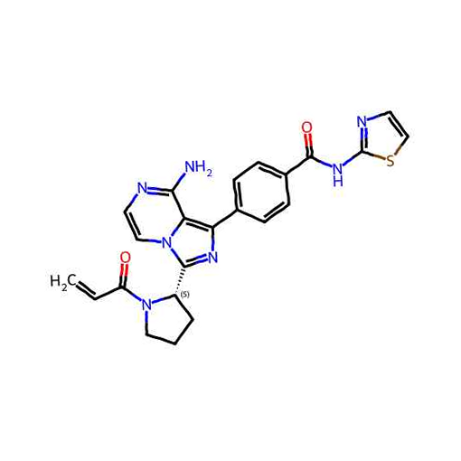 C=CC(=O)N1CCC[C@H]1c1nc(-c2ccc(C(=O)Nc3nccs3)cc2)c2c(N)nccn12